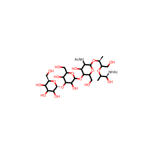 CC(=O)NC1C(O[C@@H](C)C(CO)OC(C)[C@H](O)NC(C)=O)OC(CO)C(OC2OC(CO)C(O)C(O[C@H]3O[C@H](CO)C(O)C(O)C3O)C2O)C1O